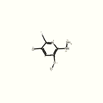 CCOc1cc(Cl)c(I)nc1NN